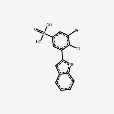 O=P(O)(O)c1cc(Br)c(Cl)c(-c2cc3ccccc3[nH]2)c1